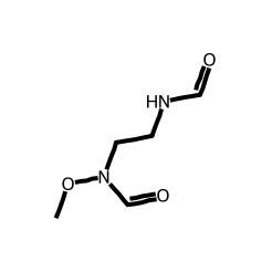 CON(C=O)CCNC=O